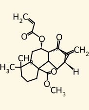 C=CC(=O)O[C@@H]1CC2C(C)(C)CCCC2(C(=O)OC)C2C[C@@H]3CC[C@@]21C(=O)C3=C